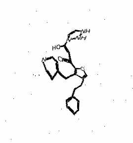 O=C(C=C(O)N1C=CNN1)c1occ(CCc2ccccc2)c1Cc1ccncc1